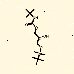 CC(C)(C)NC(=O)OC[C@@H](O)CO[Si](C)(C)C(C)(C)C